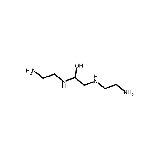 NCCNCC(O)NCCN